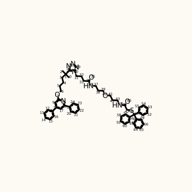 CC(C)(CCCCOc1cc(-c2ccccc2)cc(-c2ccccc2)n1)c1nnnn1CCCC(=O)NCCCOCCCNC(=O)CSC(c1ccccc1)(c1ccccc1)c1ccccc1